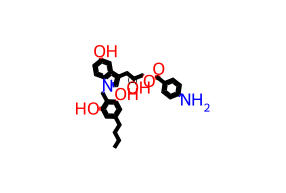 CCCCc1cc(O)c(Cn2cc(C[C@H](O)COC(=O)c3ccc(N)cc3)c3cc(O)ccc32)c(O)c1